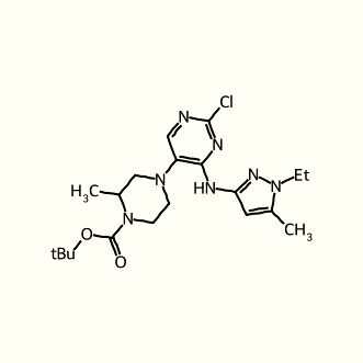 CCn1nc(Nc2nc(Cl)ncc2N2CCN(C(=O)OC(C)(C)C)C(C)C2)cc1C